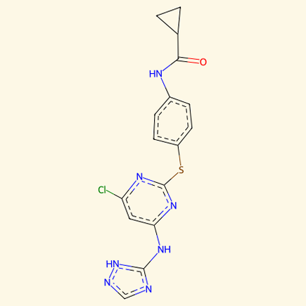 O=C(Nc1ccc(Sc2nc(Cl)cc(Nc3ncn[nH]3)n2)cc1)C1CC1